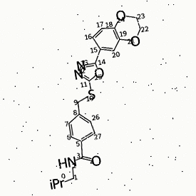 CC(C)CNC(=O)c1ccc(CSc2nnc(-c3ccc4c(c3)OCCO4)o2)cc1